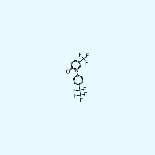 O=c1ccc(C(F)(F)F)cn1-c1ccc(C(F)(F)C(F)(F)F)cc1